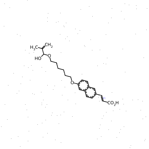 C=C(C)C(O)OCCCCCCOc1ccc2cc(/C=C/C(=O)O)ccc2c1